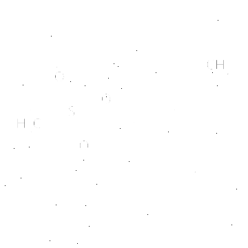 C=Cc1ccccc1OS(C)(=O)=O